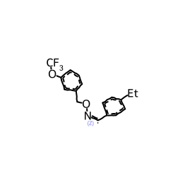 CCc1ccc(/[C]=N\OCc2cccc(OC(F)(F)F)c2)cc1